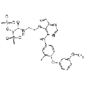 Cc1cc(Nc2ncnc3ccn(CCNC(=O)C(OS(C)(=O)=O)S(C)(=O)=O)c23)ccc1Oc1cccc(OC(F)(F)F)c1